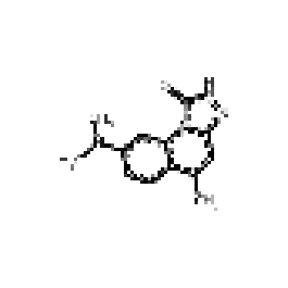 Cc1cc2n[nH]c(=O)n2c2cc(N(C)C)ccc12